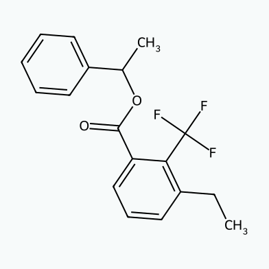 CCc1cccc(C(=O)OC(C)c2ccccc2)c1C(F)(F)F